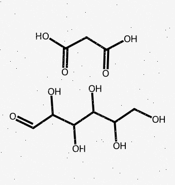 O=C(O)CC(=O)O.O=CC(O)C(O)C(O)C(O)CO